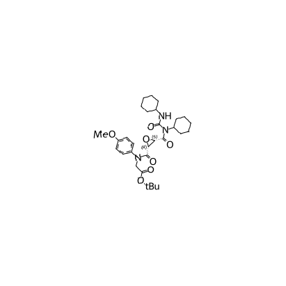 COc1ccc(N(CC(=O)OC(C)(C)C)C(=O)[C@@H]2O[C@@H]2C(=O)N(C(=O)NC2CCCCC2)C2CCCCC2)cc1